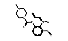 C=C/C=[N+](/[O-])c1c(N=O)cccc1OC(=O)N1CCN(C)CC1